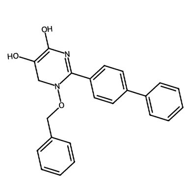 OC1=C(O)N=C(c2ccc(-c3ccccc3)cc2)N(OCc2ccccc2)C1